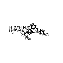 CC(C)(C)OC(=O)N(COCC[Si](C)(C)C)C1=NC(C)(c2cc(C=C(F)c3cnc(C#N)cn3)ccc2F)C2CC2(C(=O)O)S1